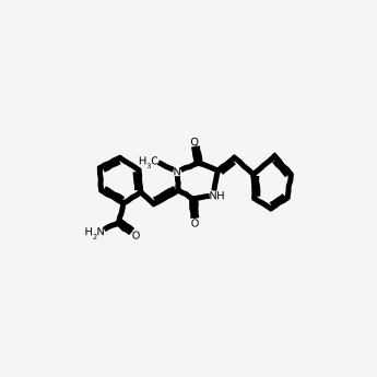 Cn1c(=O)/c(=C/c2ccccc2)[nH]c(=O)/c1=C/c1ccccc1C(N)=O